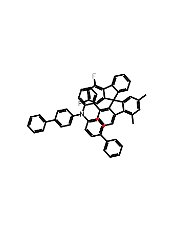 Cc1cc(C)c2c(c1)C1(c3ccccc3-c3c(F)cc(F)cc31)c1c(-c3ccccc3N(c3ccc(-c4ccccc4)cc3)c3ccc(-c4ccccc4)cc3)cccc1-2